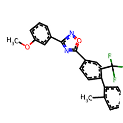 COc1cccc(-c2noc(-c3ccc(-c4ccccc4C)c(C(F)(F)F)c3)n2)c1